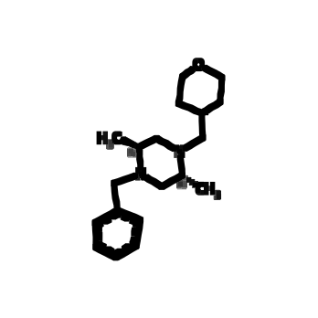 C[C@@H]1CN(Cc2ccccc2)[C@@H](C)CN1C[C]1CCOCC1